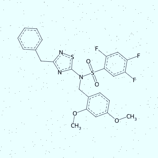 COc1ccc(CN(c2nc(Cc3ccccc3)ns2)S(=O)(=O)c2cc(F)c(F)cc2F)c(OC)c1